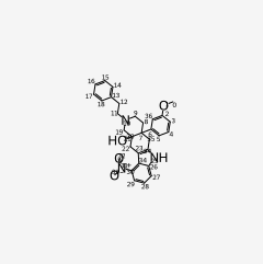 COc1cccc(C23CCN(CCc4ccccc4)CC2(O)Cc2c([nH]c4cccc([N+](=O)[O-])c24)C3)c1